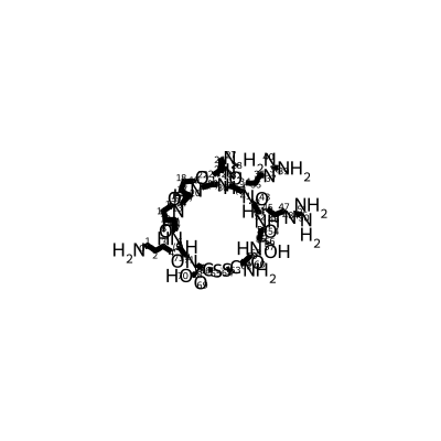 NCCCC[C@@H]1NC(=O)[C@@H]2CCCN2C(=O)[C@@H]2CCCN2C(=O)[C@H](Cc2cnc[nH]2)NC(=O)[C@H](CCCN=C(N)N)NC(=O)[C@H](CCCN=C(N)N)NC(=O)[C@H](CO)NC(=O)[C@@H](N)CSSC[C@@H](C(=O)O)NC1=O